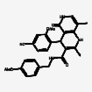 COc1ccc(CNC(=O)C2=C(C)Nc3c(C)c[nH]c(=O)c3C2c2ccc(C#N)cc2OC)cc1